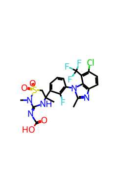 Cc1nc2ccc(Cl)c(C(F)(F)F)c2n1-c1cccc(C2(C)CS(=O)(=O)N(C)C(=NC(=O)O)N2)c1F